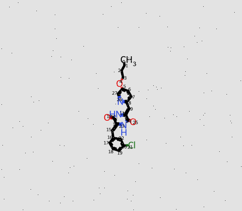 CCCCOc1ccc(C=c2[nH]c(=O)c(=Cc3cccc(Cl)c3)[nH]c2=O)nc1